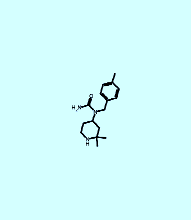 Cc1ccc(CN(C(N)=O)C2CCNC(C)(C)C2)cc1